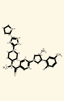 Cc1ccc(F)c([C@H]2CN(c3ncc(C(=O)N(C)C4CCN(c5nc([C@@H]6CCCO6)no5)CC4)cn3)C[C@@H]2N)c1